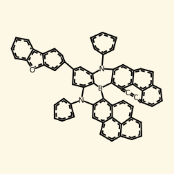 c1ccc(N2c3cc(-c4ccc5c(c4)oc4ccccc45)cc4c3B(c3c2cc2ccc5cccc6ccc3c2c56)c2c(cc3ccc5cccc6ccc2c3c56)N4c2ccccc2)cc1